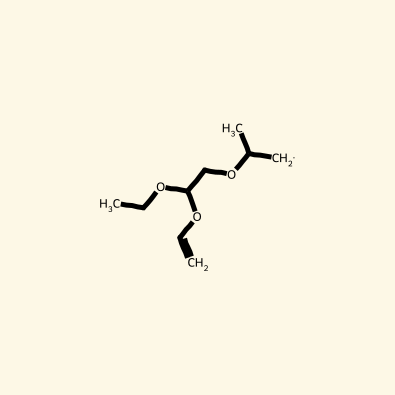 [CH2]C(C)OCC(OC=C)OCC